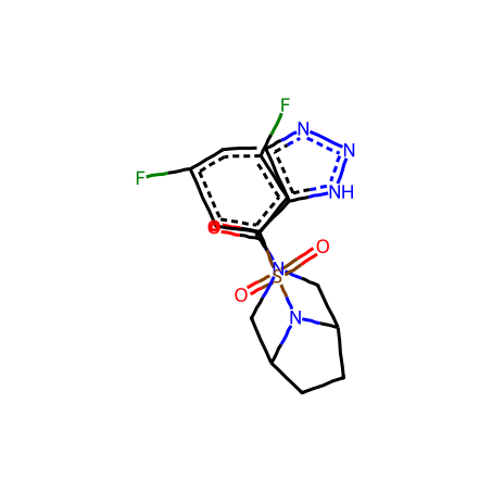 O=C(c1cnn[nH]1)N1CC2CCC(C1)N2S(=O)(=O)c1cc(F)cc(F)c1